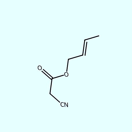 CC=CCOC(=O)CC#N